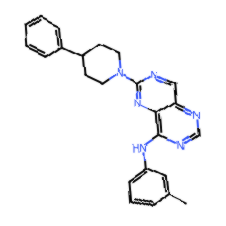 Cc1cccc(Nc2ncnc3cnc(N4CCC(c5ccccc5)CC4)nc23)c1